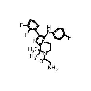 CC1(C)c2nc(-c3cccc(F)c3F)c(Nc3ccc(F)cc3)n2CCN1C(=O)CN